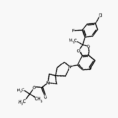 CC(C)(C)OC(=O)N1CC2(CCN(c3cccc4c3OC(C)(c3ccc(Cl)cc3F)O4)C2)C1